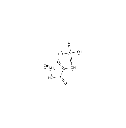 N.O=C(O)C(=O)O.O=S(=O)(O)O.[Co]